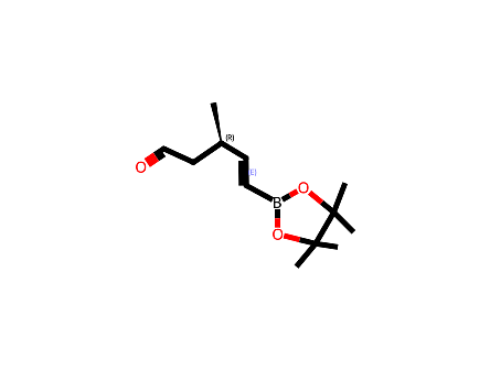 C[C@@H](/C=C/B1OC(C)(C)C(C)(C)O1)CC=O